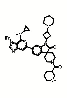 CC(C)n1cnc2cc(-c3ccc4c(c3)N(C3CC(N5CCCCC5)C3)C(=O)C43CCN(C(=O)[C@@H]4CCCNC4)CC3)nc(NC3CC3)c21